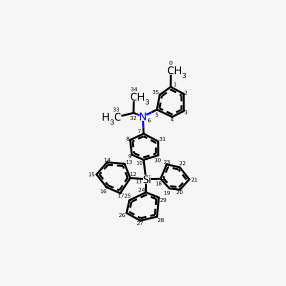 Cc1cccc(N(c2ccc([Si](c3ccccc3)(c3ccccc3)c3ccccc3)cc2)C(C)C)c1